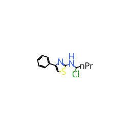 CCCC(Cl)Nc1nc(-c2ccccc2)cs1